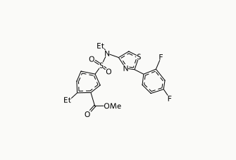 CCc1ccc(S(=O)(=O)N(CC)c2csc(-c3ccc(F)cc3F)n2)cc1C(=O)OC